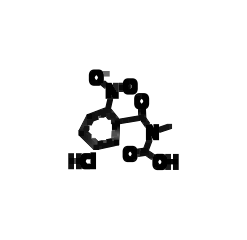 CN(C(=O)O)C(=O)c1ccccc1[N+](=O)[O-].Cl